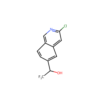 OC(c1ccc2cnc(Cl)cc2c1)C(F)(F)F